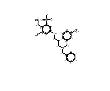 CS(=O)(=O)c1cc(OCCCN(Cc2ccccc2)Cc2cccc(C(F)(F)F)c2)cc(F)c1CO